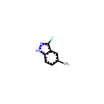 Cc1ccc2[nH]nc(F)c2c1